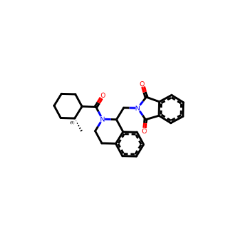 C[C@@H]1CCCCC1C(=O)N1CCc2ccccc2C1CN1C(=O)c2ccccc2C1=O